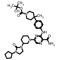 CC(C)(C)OC(=O)N1CCC(C)(c2ccc(Nc3nc(N4CCCC(N5CCN(C6CCCC6)C5=O)C4)cnc3C(N)=O)cc2)CC1